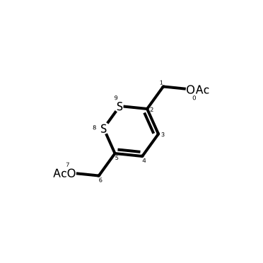 CC(=O)OCC1=CC=C(COC(C)=O)SS1